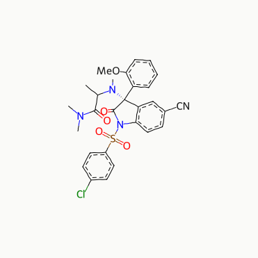 COc1ccccc1[C@]1(N(C)C(C)C(=O)N(C)C)C(=O)N(S(=O)(=O)c2ccc(Cl)cc2)c2ccc(C#N)cc21